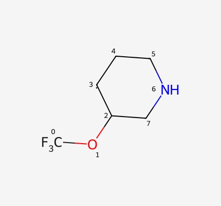 FC(F)(F)OC1[CH]CCNC1